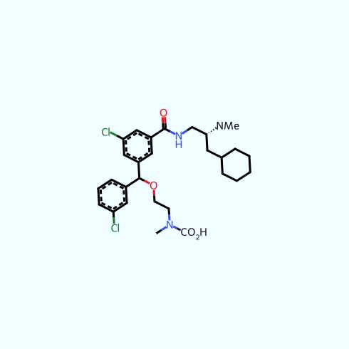 CN[C@@H](CNC(=O)c1cc(Cl)cc(C(OCCN(C)C(=O)O)c2cccc(Cl)c2)c1)CC1CCCCC1